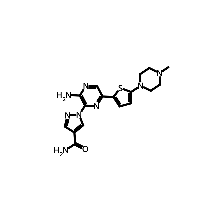 CN1CCN(c2ccc(-c3cnc(N)c(-n4cc(C(N)=O)cn4)n3)s2)CC1